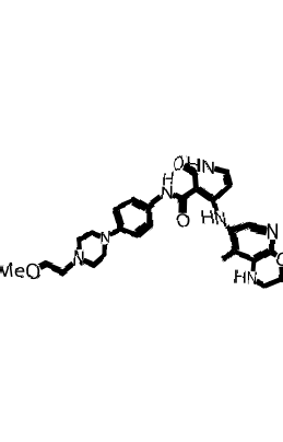 COCCN1CCN(c2ccc(NC(=O)c3c(Nc4cnc5c(c4C)NCCO5)cc[nH]c3=O)cc2)CC1